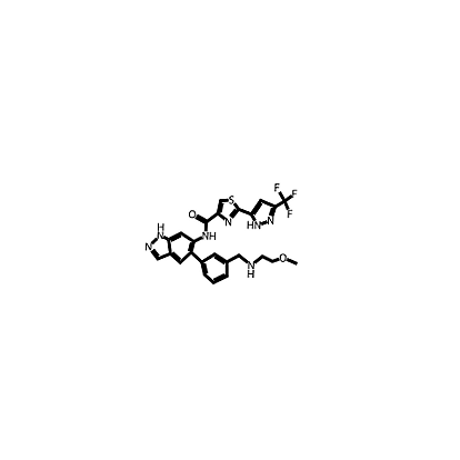 COCCNCc1cccc(-c2cc3cn[nH]c3cc2NC(=O)c2csc(-c3cc(C(F)(F)F)n[nH]3)n2)c1